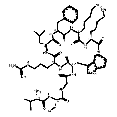 CC(C)C[C@H](NC(=O)[C@H](CCCNC(=N)N)NC(=O)[C@H](Cc1c[nH]c2ccccc12)NC(=O)CNC(=O)[C@H](CO)NC(=O)[C@@H](N)C(C)C)C(=O)N[C@@H](Cc1ccccc1)C(=O)N[C@@H](CCCCN)C(=O)N[C@@H](CCCCN)C(=O)O